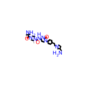 C[C@@H]1CN(C(=O)C(C)(C)N)CCN1C(=O)Nc1ccn(-c2ccc(CCN3CCC(CN)C3)cc2)c(=O)n1